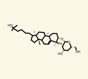 CC(C)(O)CCCCC1CC[C@@]2(C)C3CC=C4C(CC[C@H](O[C@H]5C[C@@H](O)C[C@@H](CO)O5)[C@@]4(C)P)[C@]3(C)CC[C@]12C